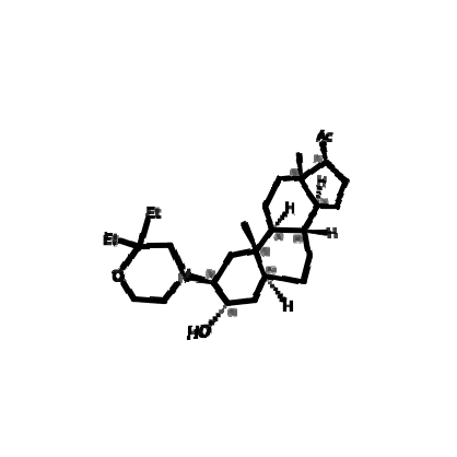 CCC1(CC)CN([C@H]2C[C@@]3(C)[C@@H](CC[C@@H]4[C@@H]3CC[C@]3(C)[C@@H](C(C)=O)CC[C@@H]43)C[C@@H]2O)CCO1